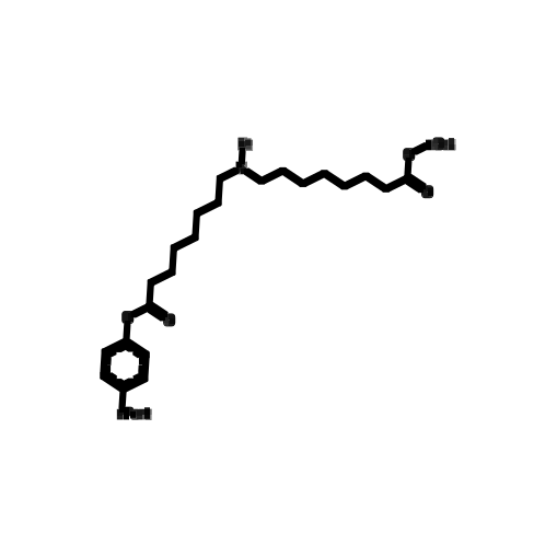 CCCCCCCCOC(=O)CCCCCCCN(CC)CCCCCCCC(=O)Oc1ccc(CCCCC)cc1